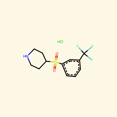 Cl.O=S(=O)(c1cccc(C(F)(F)F)c1)C1CCNCC1